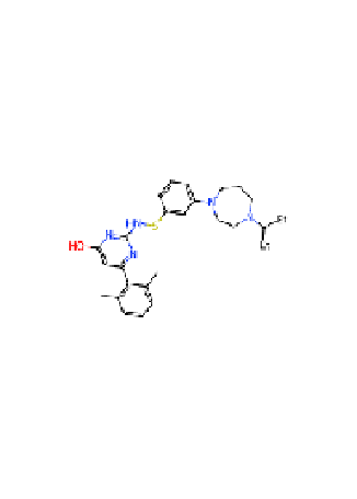 CCC(CC)N1CCCN(c2cccc(SNc3nc(O)cc(-c4c(C)cccc4C)n3)c2)CC1